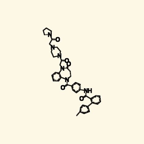 Cc1ccc(-c2ccccc2C(=O)Nc2ccc(C(=O)N3CCC(=O)N(CC(=O)N4CCN(CC(=O)N5CCCC5)CC4)c4ccccc43)cc2)cc1